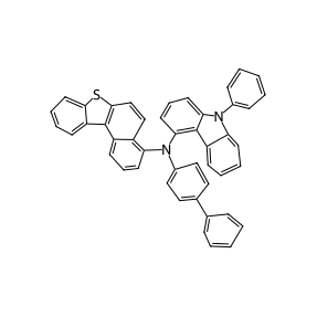 c1ccc(-c2ccc(N(c3cccc4c3ccc3sc5ccccc5c34)c3cccc4c3c3ccccc3n4-c3ccccc3)cc2)cc1